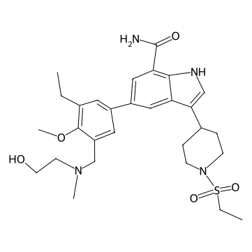 CCc1cc(-c2cc(C(N)=O)c3[nH]cc(C4CCN(S(=O)(=O)CC)CC4)c3c2)cc(CN(C)CCO)c1OC